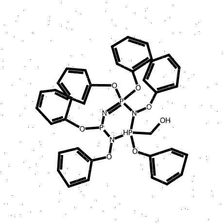 OC[PH]1(Oc2ccccc2)N(Oc2ccccc2)P(Oc2ccccc2)N=P(Oc2ccccc2)(Oc2ccccc2)N1Oc1ccccc1